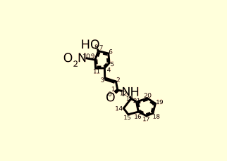 O=C(/C=C/c1ccc(O)c([N+](=O)[O-])c1)NC1CCc2ccccc21